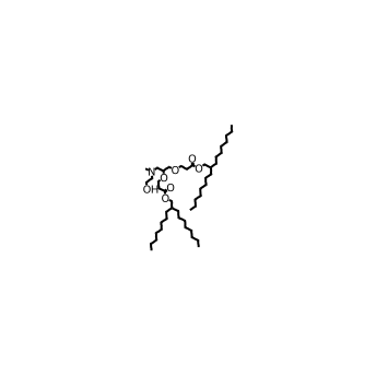 CCCCCCCCC(CCCCCCCC)COC(=O)CCOCC(CN(C)CCO)OCCC(=O)OCC(CCCCCCCC)CCCCCCCC